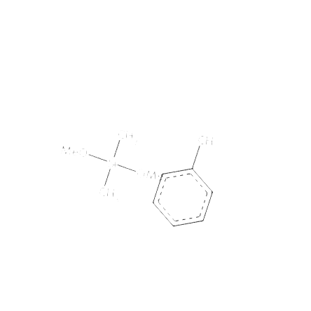 CO[Si](C)(C)OC.Cc1ccccc1